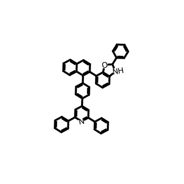 c1ccc(-c2cc(-c3ccc(-c4c(-c5cccc6c5OC(c5ccccc5)N6)ccc5ccccc45)cc3)cc(-c3ccccc3)n2)cc1